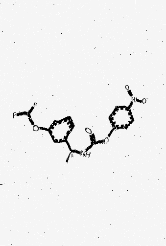 C[C@H](NC(=O)Oc1ccc([N+](=O)[O-])cc1)c1cccc(OC(F)F)c1